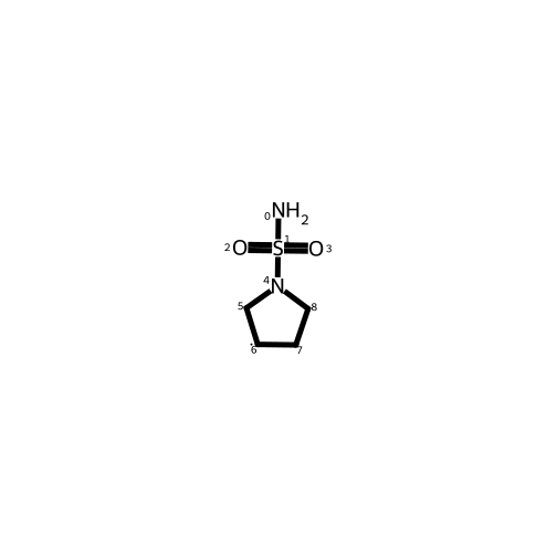 NS(=O)(=O)N1C[CH]CC1